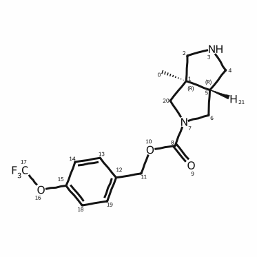 C[C@]12CNC[C@@H]1CN(C(=O)OCc1ccc(OC(F)(F)F)cc1)C2